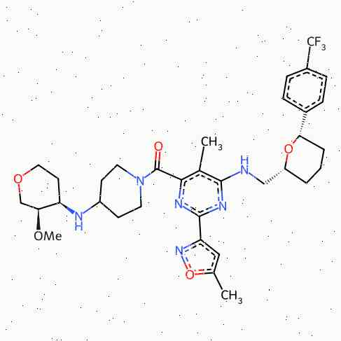 CO[C@H]1COCC[C@H]1NC1CCN(C(=O)c2nc(-c3cc(C)on3)nc(NC[C@H]3CCC[C@@H](c4ccc(C(F)(F)F)cc4)O3)c2C)CC1